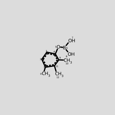 Cc1ccc(OB(O)O)c(C)c1C